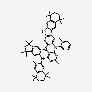 Cc1cc2c3c(c1)N(c1ccccc1C)c1cc4c(cc1B3c1cc3c(cc1N2c1cc2c(cc1C)C(C)(C)CCC2(C)C)C(C)(C)CC3(C)C)oc1cc2c(cc14)C(C)(C)CCC2(C)C